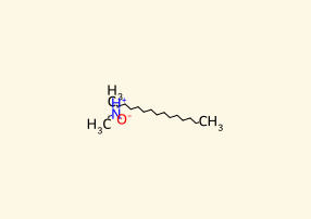 CCCCCCCCCCCCCC(C)[NH+]([O-])CC